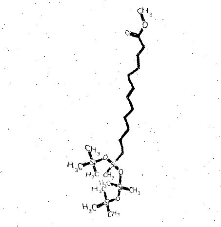 COC(=O)CCCCCCCCCCC[Si](C)(O[Si](C)(C)C)O[Si](C)(C)O[Si](C)(C)C